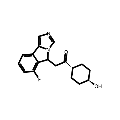 O=C(CC1c2c(F)cccc2-c2cncn21)[C@H]1CC[C@H](O)CC1